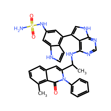 Cc1cccc2cc(C(C)Nc3ncnc4[nH]cc(-c5cc(NS(N)(=O)=O)cc6[nH]ccc56)c34)n(-c3ccccc3)c(=O)c12